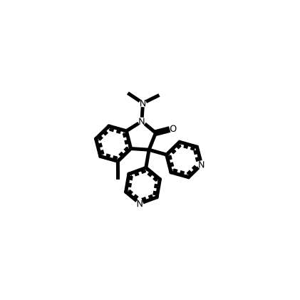 Cc1cccc2c1C(c1ccncc1)(c1ccncc1)C(=O)N2N(C)C